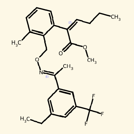 CCC/C=C(\C(=O)OC)c1cccc(C)c1CO/N=C(\C)c1cc(CC)cc(C(F)(F)F)c1